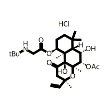 C=C[C@@]1(C)CC(=O)[C@]2(O)[C@@]3(C)[C@@H](OC(=O)CNC(C)(C)C)CCC(C)(C)[C@@H]3[C@H](O)[C@H](OC(C)=O)[C@@]2(C)O1.Cl